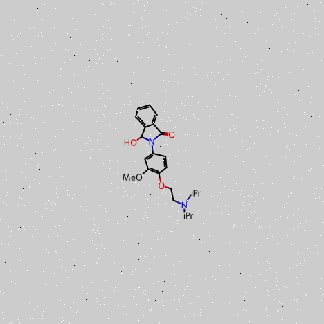 COc1cc(N2C(=O)c3ccccc3C2O)ccc1OCCN(C(C)C)C(C)C